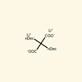 CCCCCCCCCCC(CCCCCCCCCC)(C(=O)[O-])C(=O)[O-].[Li+].[Li+]